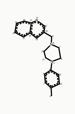 Cc1ccc(N2CCN(Cc3cnc4ccccc4c3)CC2)cc1